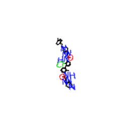 Cc1c(NC(=O)c2nc3c(n2C)CCN(C)C3)cccc1-c1cccc(NC(=O)c2nc3c(n2C)CCN(CCC24CCC(C)(CC2)C4)C3)c1Cl